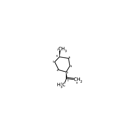 C=C(C)[C@H]1CC[C@@H](C)CC1